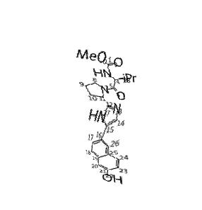 COC(=O)N[C@H](C(=O)N1CCC[C@H]1c1ncc(-c2ccc3cc(O)ccc3c2)[nH]1)C(C)C